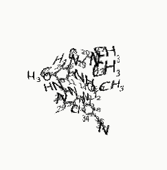 CCCc1nn(-c2nc(Nc3cc(NC=O)c(N(C)CCN(C)C)cc3OC)ncc2Cl)c2ccc(C#N)cc12